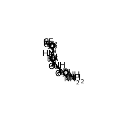 NNC1=C(N)CN(C(=O)CCNC(=O)c2cnc(NCc3cccc(OC(F)(F)F)c3)nc2)CC1